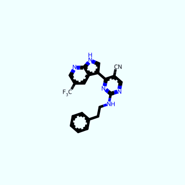 N#Cc1cnc(NCCc2ccccc2)nc1-c1c[nH]c2ncc(C(F)(F)F)cc12